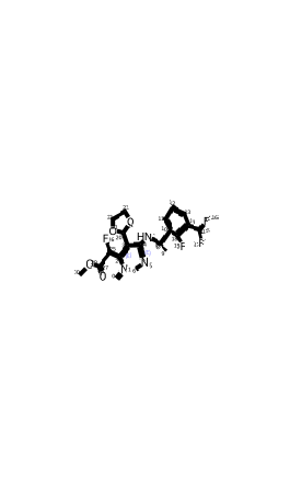 C=N/C(=C(\C(=N/C)N[C@H](C)c1cccc(C(F)F)c1F)C1OCCO1)C(F)C(=O)OC